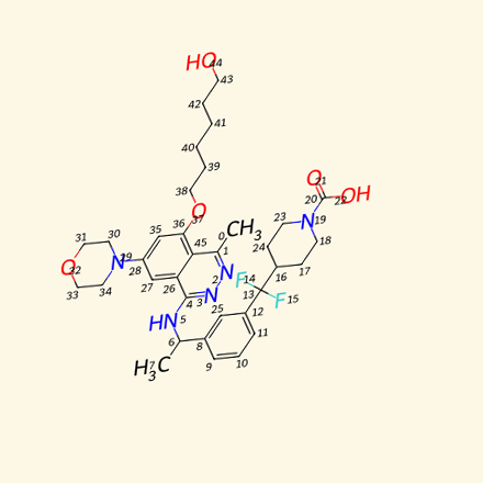 Cc1nnc(NC(C)c2cccc(C(F)(F)C3CCN(C(=O)O)CC3)c2)c2cc(N3CCOCC3)cc(OCCCCCCO)c12